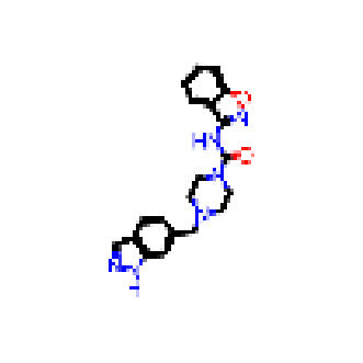 O=C(Nc1noc2ccccc12)N1CCN(Cc2ccc3cn[nH]c3c2)CC1